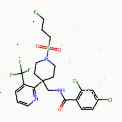 O=C(NCC1(c2ncccc2C(F)(F)F)CCN(S(=O)(=O)CCCF)CC1)c1ccc(Cl)cc1Cl